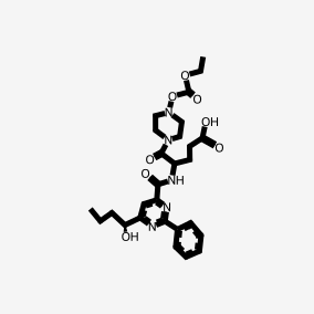 CCC[C@H](O)c1cc(C(=O)NC(CCC(=O)O)C(=O)N2CCN(OC(=O)OCC)CC2)nc(-c2ccccc2)n1